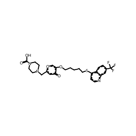 O=C(O)N1CCN(Cc2cc(=O)c(OCCCCCSc3ccnc4cc(C(F)(F)F)ccc34)co2)CC1